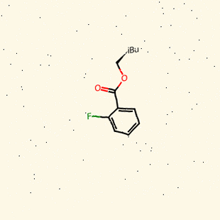 CC[C@H](C)COC(=O)c1cc[c]cc1F